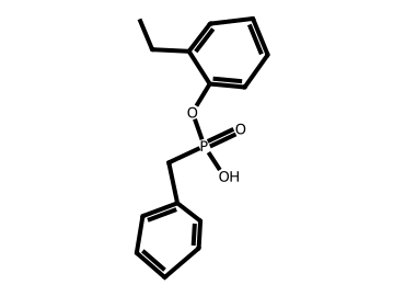 CCc1ccccc1OP(=O)(O)Cc1ccccc1